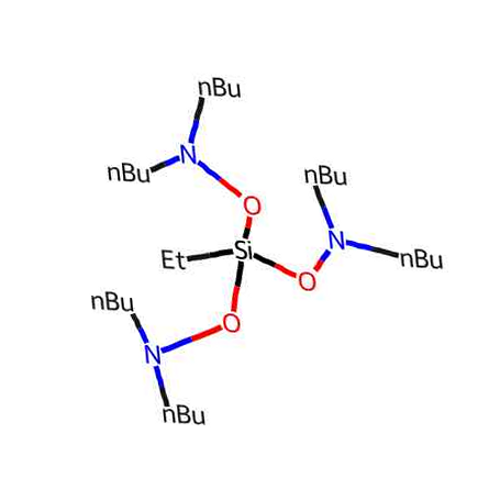 CCCCN(CCCC)O[Si](CC)(ON(CCCC)CCCC)ON(CCCC)CCCC